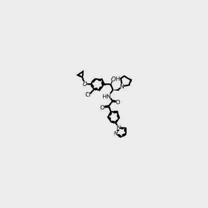 O=C(N[C@H](CN1CCCC1)[C@H](O)c1ccc(OC2CC2)c(Cl)c1)C(=O)c1ccc(-n2cccn2)cc1